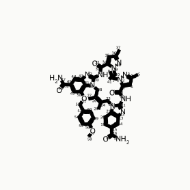 CCn1nc(C)cc1C(=O)Nc1nc2cc(C(N)=O)ccc2n1CC(C)=C(C)Cn1c(NC(=O)c2cc(C)nn2CC)nc2cc(C(N)=O)cc(OCc3ccc(OC)cc3)c21